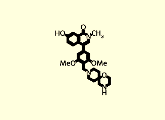 COc1cc(-c2cn(C)c(=O)c3cc(O)ccc23)cc(OC)c1CN1CCC2(CC1)CNCCO2